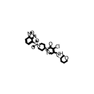 O=c1c(Cl)c(NC[C@H]2CCCOC2)cnn1C1CCN(S(=O)(=O)c2cccc3nonc23)CC1